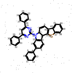 C1=CC2C(c3ccc(-c4ccccc4)cc3N2c2nc(-c3ccccc3)cc(-c3ccccc3)n2)c2sc3ccccc3c21